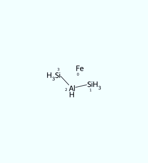 [Fe].[SiH3][AlH][SiH3]